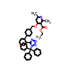 CCOC(=O)c1c(OCc2ccc(-c3ccccc3-c3nnnn3C(c3ccccc3)(c3ccccc3)c3ccccc3)cc2)cc(C)nc1C